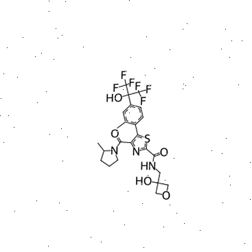 Cc1cc(C(O)(C(F)(F)F)C(F)(F)F)ccc1-c1sc(C(=O)NCC2(O)COC2)nc1C(=O)N1CCCC1C